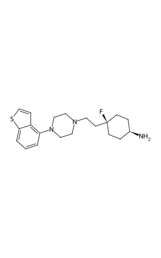 N[C@H]1CC[C@](F)(CCN2CCN(c3cccc4sccc34)CC2)CC1